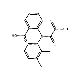 Cc1cccc(N(C(=O)C(=O)O)c2ccccc2C(=O)O)c1C